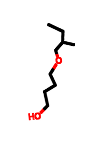 CCC(C)COCCCCO